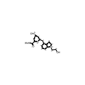 CNC(=O)c1cc(C=O)cc(Cc2cccc3c2ccn3CCO)n1